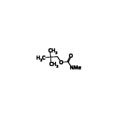 CNC(=O)OCC(C)(C)C